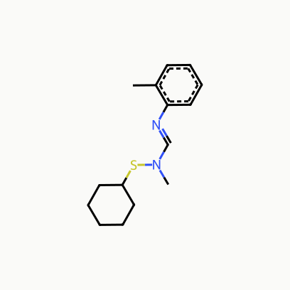 Cc1ccccc1N=CN(C)SC1CCCCC1